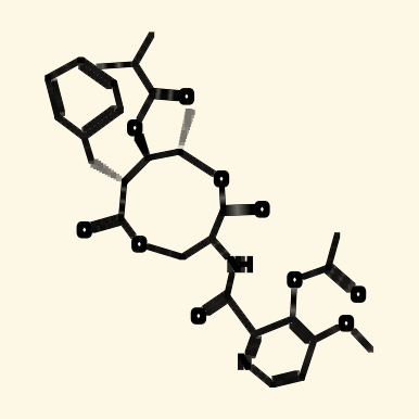 COc1ccnc(C(=O)NC2COC(=O)[C@H](Cc3ccccc3)[C@@H](OC(=O)C(C)C)[C@H](C)OC2=O)c1OC(C)=O